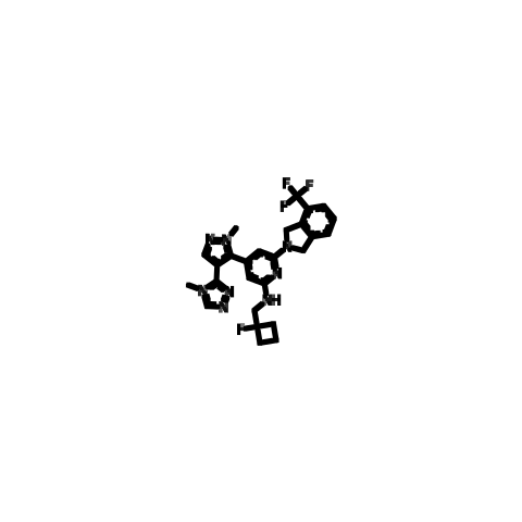 Cn1cnnc1-c1cnn(C)c1-c1cc(NCC2(F)CCC2)nc(N2Cc3cccc(C(F)(F)F)c3C2)c1